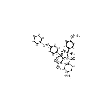 CCCCOc1ccc(C(F)(F)[C@@H](C(=O)N2CCC(N)CC2)N(OC(=O)C(F)(F)F)S(=O)(=O)c2ccc(OCC3CCCCC3)cc2)cc1